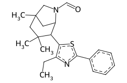 CCc1nc(-c2ccccc2)sc1C1C2CC(C)(CN2C=O)CC1(C)C